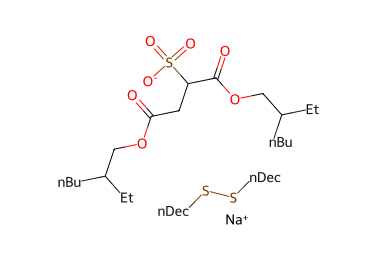 CCCCC(CC)COC(=O)CC(C(=O)OCC(CC)CCCC)S(=O)(=O)[O-].CCCCCCCCCCSSCCCCCCCCCC.[Na+]